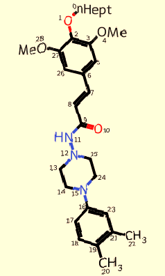 CCCCCCCOc1c(OC)cc(C=CC(=O)NN2CCN(c3ccc(C)c(C)c3)CC2)cc1OC